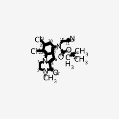 CN1CCn2c(cc3c(N(CC#N)C(=O)OC(C)(C)C)cc(Cl)c(Cl)c32)C1=O